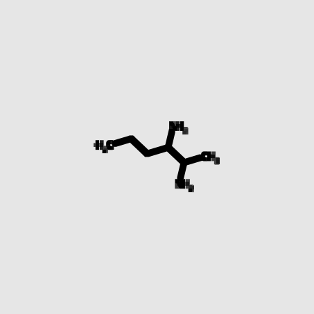 [CH2]CCC(N)C(C)N